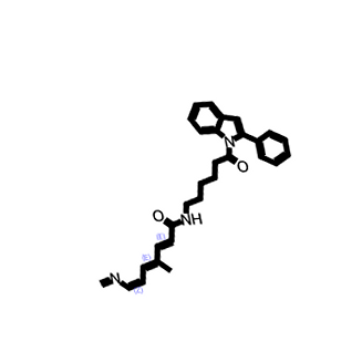 C=N\C=C/C=C(C)/C=C/C(=O)NCCCCCC(=O)n1c(-c2ccccc2)cc2ccccc21